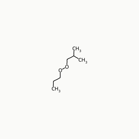 CCCOOCC(C)C